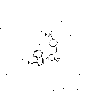 N#Cc1ccc(N2CC(CN3CCC(N)CC3)C3(CC3)C2)c2nccnc12